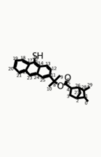 CC1C2CC(C(=O)OC(C)(C)c3ccc4c(S)c5ccccc5cc4c3)C(C2)C1C